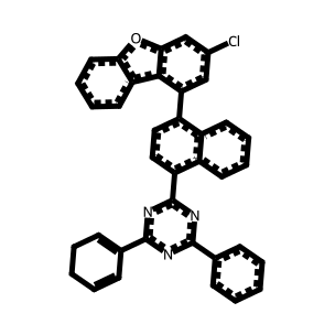 Clc1cc(-c2ccc(-c3nc(C4=CCCC=C4)nc(-c4ccccc4)n3)c3ccccc23)c2c(c1)oc1ccccc12